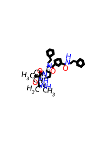 CN[C@@H](C)C(=O)N[C@H](C(=O)N1CCC[C@H]1CN(CCc1ccccc1)C(=O)c1cccc(C(=O)NCCc2ccccc2)c1)C(C)(C)C